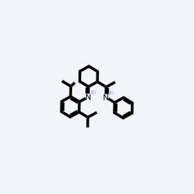 C/C(=N\c1ccccc1)C1CCCC/C1=N\c1c(C(C)C)cccc1C(C)C